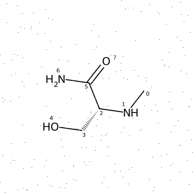 CN[C@H](CO)C(N)=O